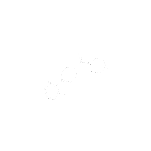 Cc1cccnc1N1CCC(C(=O)N2CCOCC2)CC1